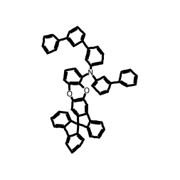 c1ccc(-c2cccc(-c3cccc(N(c4cccc(-c5ccccc5)c4)c4cccc5c4Oc4cc6c(cc4O5)C4(c5ccccc5-c5ccccc54)c4ccccc4-6)c3)c2)cc1